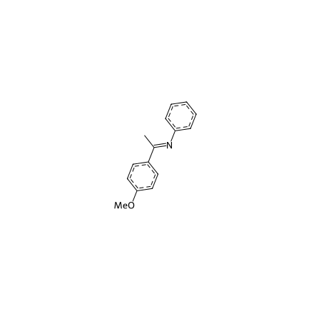 COc1ccc(/C(C)=N/c2ccccc2)cc1